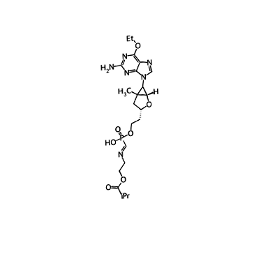 CCOc1nc(N)nc2c1ncn2C1[C@@H]2O[C@H](CCOP(=O)(O)/C=N/CCOC(=O)C(C)C)CC12C